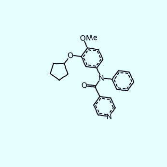 COc1ccc(N(C(=O)c2ccncc2)c2ccccc2)cc1OC1CCCC1